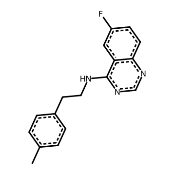 Cc1ccc(CCNc2ncnc3ccc(F)cc23)cc1